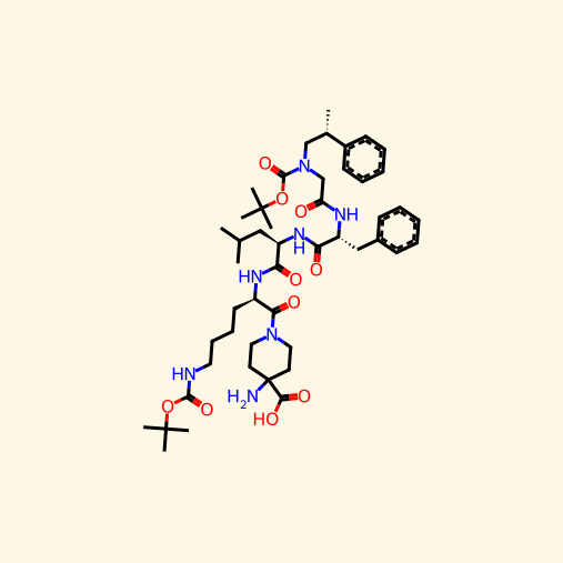 CC(C)C[C@@H](NC(=O)[C@@H](Cc1ccccc1)NC(=O)CN(C[C@H](C)c1ccccc1)C(=O)OC(C)(C)C)C(=O)N[C@H](CCCCNC(=O)OC(C)(C)C)C(=O)N1CCC(N)(C(=O)O)CC1